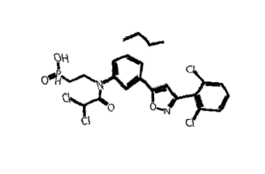 CCCC.O=C(C(Cl)Cl)N(CC[PH](=O)O)c1cccc(-c2cc(-c3c(Cl)cccc3Cl)no2)c1